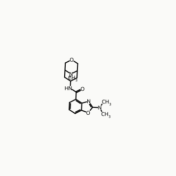 CN(C)c1nc2c(C(=O)NC3CC4COCC(C3)N4C)cccc2o1